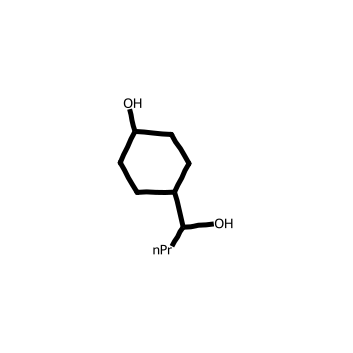 CCCC(O)C1CCC(O)CC1